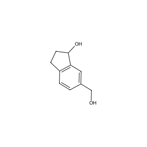 OCc1ccc2c(c1)C(O)CC2